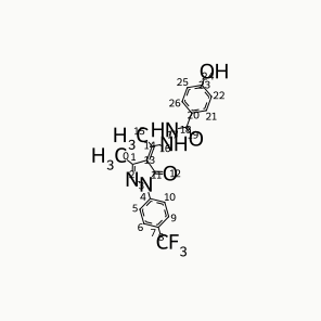 CC1=NN(c2ccc(C(F)(F)F)cc2)C(=O)/C1=C(/C)NNC(=O)c1ccc(O)cc1